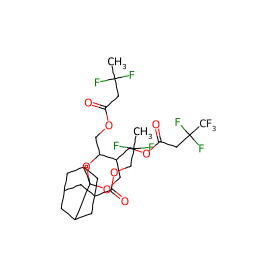 CC(F)(F)COC(=O)C12CC3CC(C1)C1(OCC(COC(=O)CC(F)(F)C(F)(F)F)C(COC(=O)CC(C)(F)F)O1)C(C3)C2